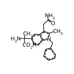 Cc1c(CC(N)=O)c2cc(C(C)(N)C(=O)O)ccc2n1Cc1ccccc1